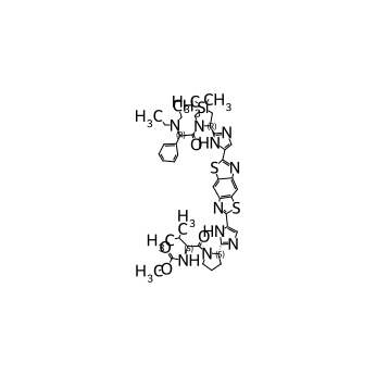 CCN(CC)[C@@H](C(=O)N1C[Si](C)(C)C[C@H]1c1ncc(-c2nc3cc4sc(-c5cnc([C@@H]6CCCN6C(=O)[C@@H](NC(=O)OC)C(C)C)[nH]5)nc4cc3s2)[nH]1)c1ccccc1